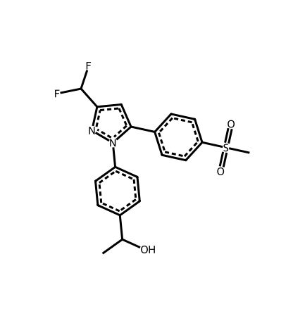 CC(O)c1ccc(-n2nc(C(F)F)cc2-c2ccc(S(C)(=O)=O)cc2)cc1